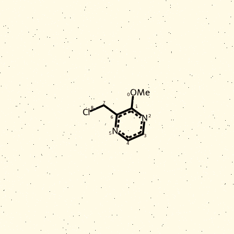 COc1nccnc1CCl